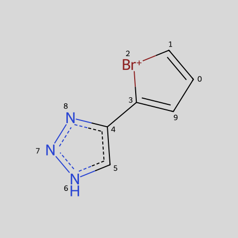 C1=C[Br+]C(c2c[nH]nn2)=C1